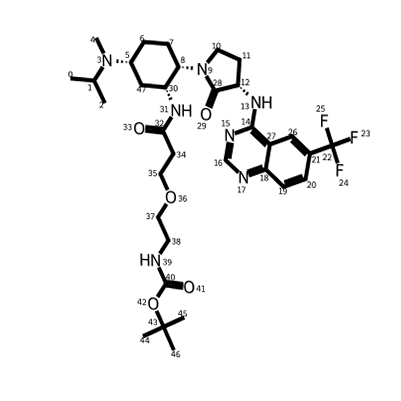 CC(C)N(C)[C@@H]1CC[C@H](N2CC[C@H](Nc3ncnc4ccc(C(F)(F)F)cc34)C2=O)[C@H](NC(=O)CCOCCNC(=O)OC(C)(C)C)C1